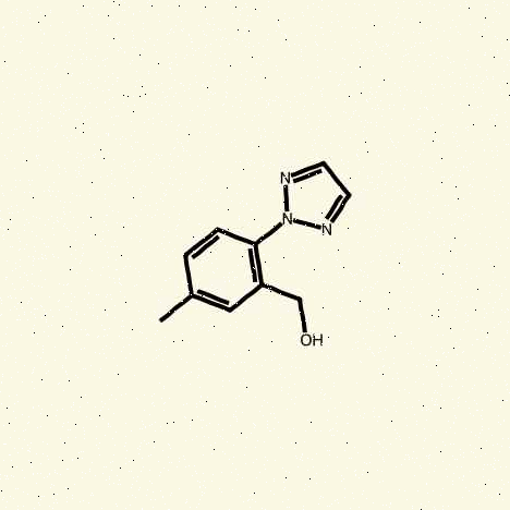 Cc1ccc(-n2nccn2)c(CO)c1